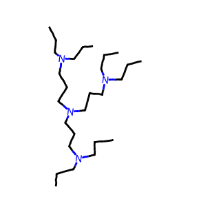 CCCN(CCC)CCCN(CCCN(CCC)CCC)CCCN(CCC)CCC